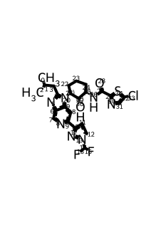 CC(C)Cc1nc2cnc(-c3ccn(C(F)F)n3)cc2n1[C@@H]1CCC[C@H](NC(=O)c2ncc(Cl)s2)[C@H]1O